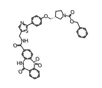 O=C(NCc1cnc(-c2ccc(OC[C@@H]3CCN(C(=O)OCc4ccccc4)C3)cc2)s1)c1ccc2c(c1)NC(=O)c1ccccc1S2(=O)=O